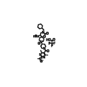 CCCCC1CN(CC2CCCCC2)C(=O)OC12CC[N+]([O-])(C1CCN(C(=O)c3c(C)nc([S+](C)[O-])nc3C)CC1)CC2.O=C(O)C(F)(F)F